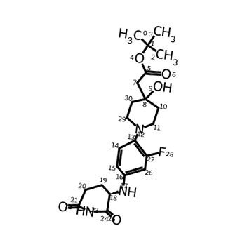 CC(C)(C)OC(=O)CC1(O)CCN(c2ccc(N[C@@H]3CCC(=O)NC3=O)cc2F)CC1